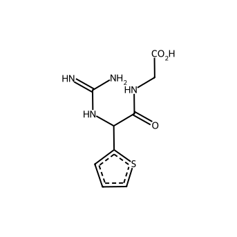 N=C(N)NC(C(=O)NCC(=O)O)c1cccs1